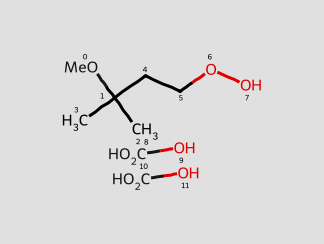 COC(C)(C)CCOO.O=C(O)O.O=C(O)O